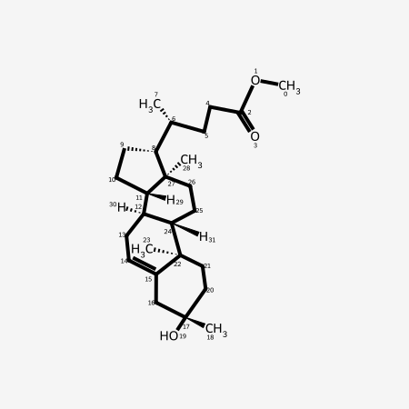 COC(=O)CC[C@@H](C)[C@H]1CC[C@H]2[C@@H]3CC=C4C[C@@](C)(O)CC[C@]4(C)[C@H]3CC[C@]12C